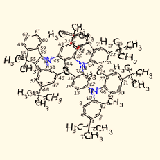 Cc1cc(C(C)(C)C)ccc1N(c1ccc2c(c1)N(c1ccc(C(C)(C)C)cc1-c1ccccc1)c1cc(C(C)(C)C)cc3c1B2c1cc(C(C)(C)C)cc2c4c(n-3c12)-c1ccccc1C4(C)C)c1ccc(C(C)(C)C)cc1C